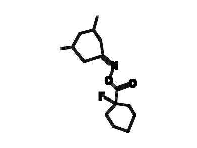 CC1CC(=NOC(=O)C2(F)CCCCC2)CC(C)C1